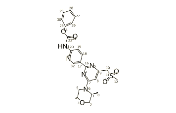 C[C@H]1COCCN1c1cc(CS(C)(=O)=O)nc(-c2ccc(NC(=O)Oc3ccccc3)nc2)n1